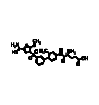 CSc1sc(C(=N)N)cc1S(=O)(=O)c1cccc(-c2ccc(NC(=O)[C@@H](N)CCC(=O)O)cc2C)c1